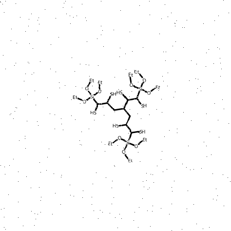 CCO[Si](OCC)(OCC)C(S)C(S)CC(CC(S)C(S)[Si](OCC)(OCC)OCC)C(S)C(S)[Si](OCC)(OCC)OCC